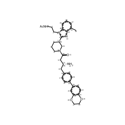 CC(=O)NCCn1c([C@@H]2CCCN(C(=O)C[C@H](N)Cc3ccc(-c4ccc5c(c4)OCCO5)cc3)C2)nc2c(C)cccc21